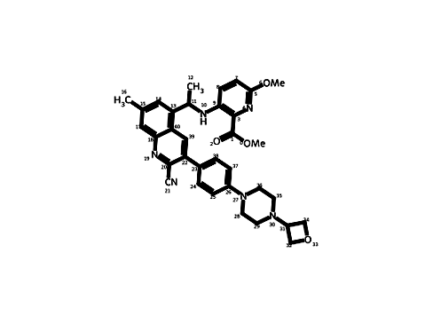 COC(=O)c1nc(OC)ccc1NC(C)c1cc(C)cc2nc(C#N)c(-c3ccc(N4CCN(C5COC5)CC4)cc3)cc12